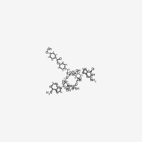 CCCOc1ccc(C(=O)Oc2ccc(CS[P@]3(=O)N[C@H]4[C@@H](O)[C@H](n5cnc6c(=O)[nH]c(N)nc65)O[C@@H]4CO[P@@](=O)(S)N[C@@H]4[C@@H](O)[C@H](n5cnc6c(N)ncnc65)O[C@@H]4CO3)cc2)cc1